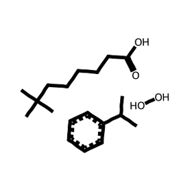 CC(C)(C)CCCCCC(=O)O.CC(C)c1ccccc1.OO